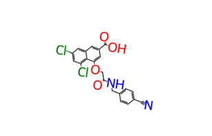 N#Cc1ccc(CNC(=O)COc2cc(C(=O)O)cc3cc(Cl)cc(Cl)c23)cc1